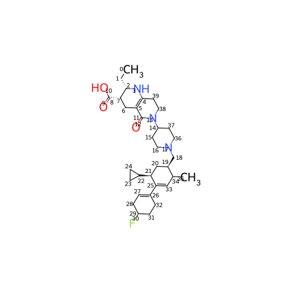 CC[C@@H]1NC2=C(C[C@@H]1C(=O)O)C(=O)N(C1CCN(C[C@@H]3C[C@H](C4CC4)C(C4=CC[C@H](F)CC4)=CC3C)CC1)CC2